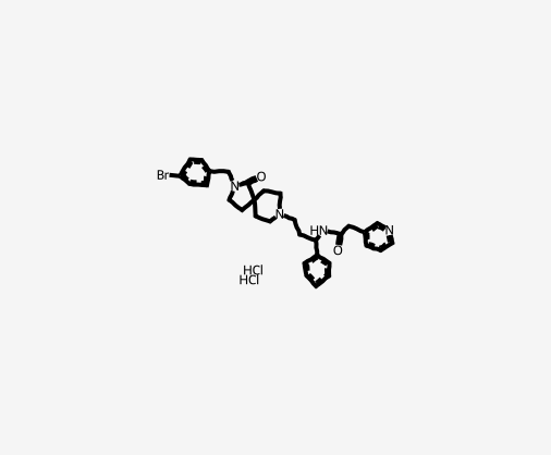 Cl.Cl.O=C(Cc1cccnc1)NC(CCN1CCC2(CC1)CCN(Cc1ccc(Br)cc1)C2=O)c1ccccc1